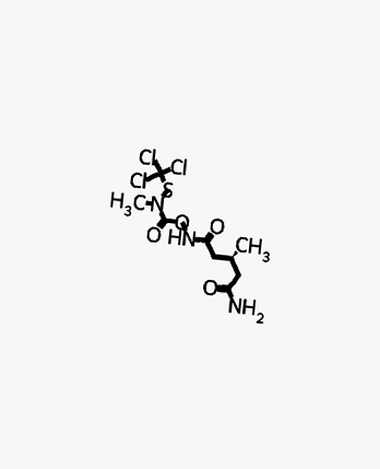 C[C@H](CC(N)=O)CC(=O)NOC(=O)N(C)SC(Cl)(Cl)Cl